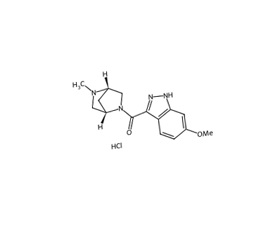 COc1ccc2c(C(=O)N3C[C@@H]4C[C@H]3CN4C)n[nH]c2c1.Cl